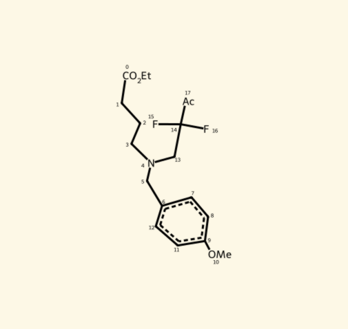 CCOC(=O)CCCN(Cc1ccc(OC)cc1)CC(F)(F)C(C)=O